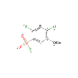 COc1cc(S(=O)(=O)Cl)c(F)cc1Cl